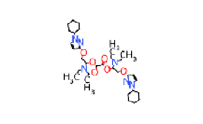 CCN(CC)C(COc1ccn(C2CCCCC2)n1)OC(=O)C(=O)OC(COc1ccn(C2CCCCC2)n1)N(CC)CC